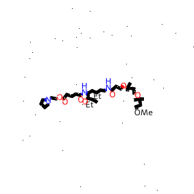 CCC(C)(CC)C(=O)C(CCCCNC(=O)CCOC(C)(C)CCOC(C)(C)CCOC)NC(=O)CCCC(=O)OCCN1CCCC1